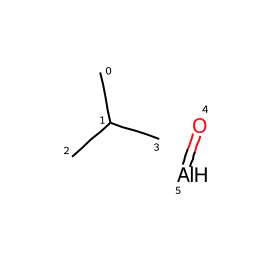 CC(C)C.[O]=[AlH]